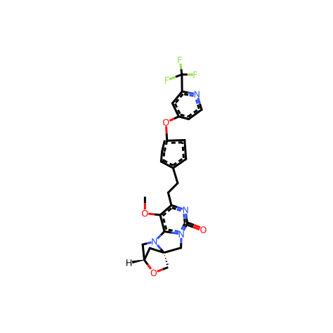 COc1c(CCc2ccc(Oc3ccnc(C(F)(F)F)c3)cc2)nc(=O)n2c1N1C[C@@H]3C[C@]1(CO3)C2